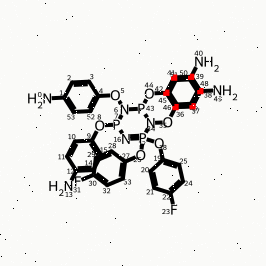 Nc1ccc(ON2P(Oc3ccc(N)cc3)N=P(Oc3ccc(F)cc3)(Oc3ccc(F)cc3)N(Oc3ccc(N)cc3)P2Oc2ccc(N)cc2)cc1